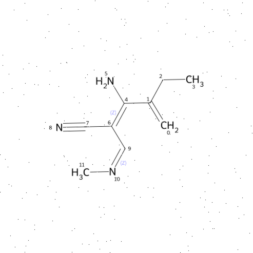 C=C(CC)/C(N)=C(C#N)\C=N/C